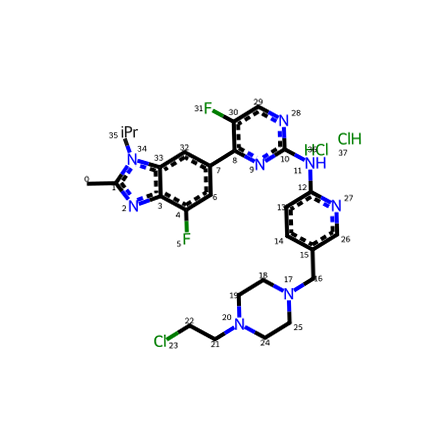 Cc1nc2c(F)cc(-c3nc(Nc4ccc(CN5CCN(CCCl)CC5)cn4)ncc3F)cc2n1C(C)C.Cl.Cl